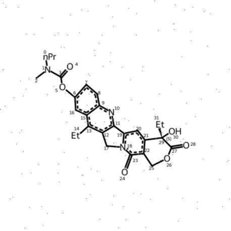 CCCN(C)C(=O)Oc1ccc2nc3c(c(CC)c2c1)Cn1c-3cc2c(c1=O)COC(=O)[C@]2(O)CC